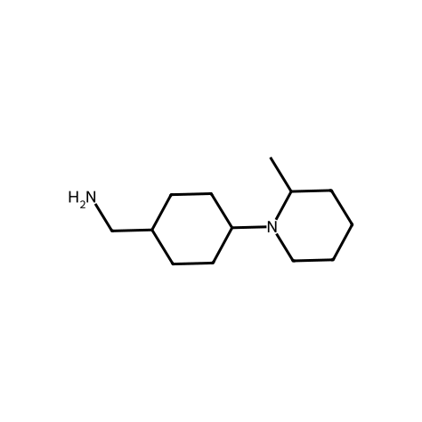 CC1CCCCN1C1CCC(CN)CC1